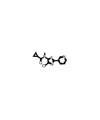 CN(C(=O)C1CC1)c1sc(-c2cccnc2)nc1Cl